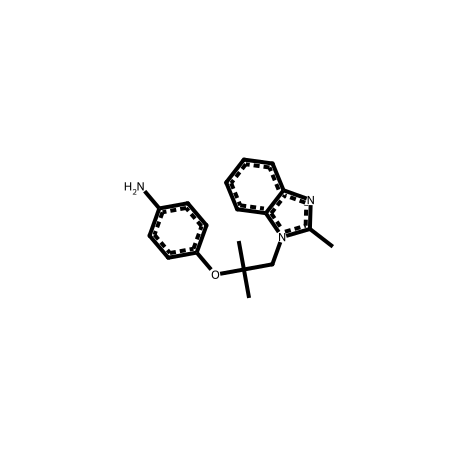 Cc1nc2ccccc2n1CC(C)(C)Oc1ccc(N)cc1